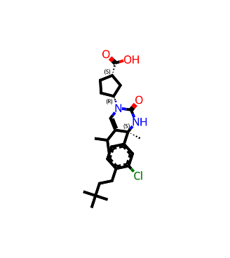 CC(C)C1=CN([C@@H]2CC[C@H](C(=O)O)C2)C(=O)N[C@@]1(C)c1ccc(CCC(C)(C)C)c(Cl)c1